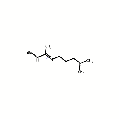 CCCCN/C(C)=N/CCCN(C)C